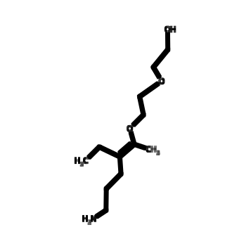 CC/C(CCCN)=C(/C)OCCOCCO